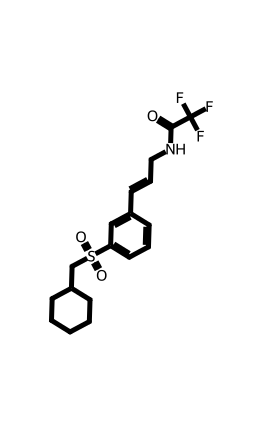 O=C(NCC=Cc1cccc(S(=O)(=O)CC2CCCCC2)c1)C(F)(F)F